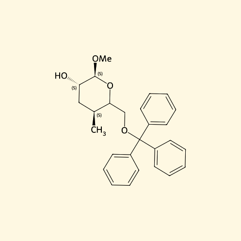 CO[C@H]1OC(COC(c2ccccc2)(c2ccccc2)c2ccccc2)[C@@H](C)C[C@@H]1O